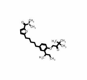 CCC(C)c1cc(CCCCCc2ccc(C(=O)N(C)C)o2)ccc1OCC(=O)C(C)(C)C